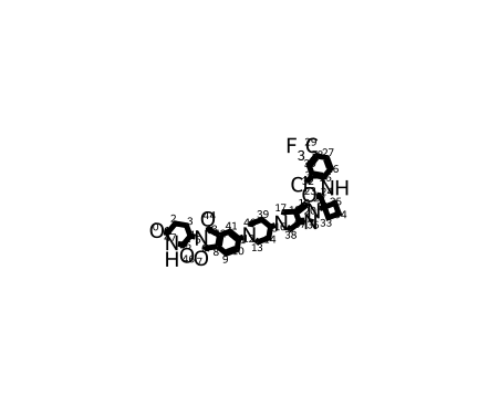 O=C1CCC(N2C(=O)c3ccc(N4CCC(N5Cc6cn(C7(C(=O)Nc8ccc(C(F)(F)F)cc8Cl)CCC7)nc6C5)CC4)cc3C2=O)C(=O)N1